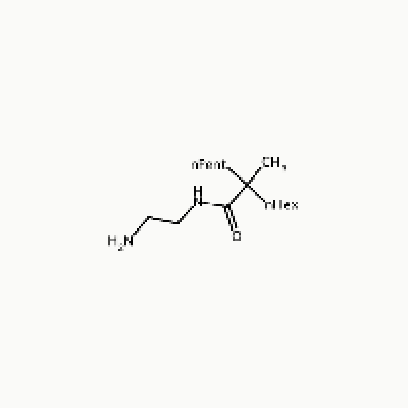 CCCCCCC(C)(CCCCC)C(=O)NCCN